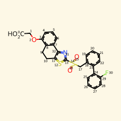 O=C(O)COc1cccc2c1CCc1sc(S(=O)(=O)Cc3ccccc3-c3ccccc3F)nc1-2